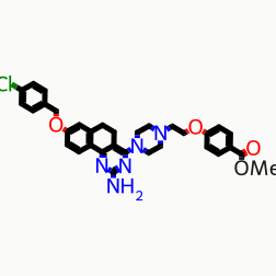 COC(=O)c1ccc(OCCN2CCN(c3nc(N)nc4c3CCc3cc(OCc5ccc(Cl)cc5)ccc3-4)CC2)cc1